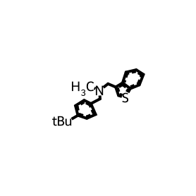 CN(Cc1ccc(C(C)(C)C)cc1)Cc1csc2ccccc12